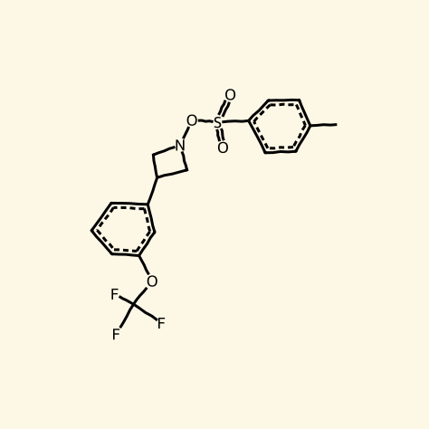 Cc1ccc(S(=O)(=O)ON2CC(c3cccc(OC(F)(F)F)c3)C2)cc1